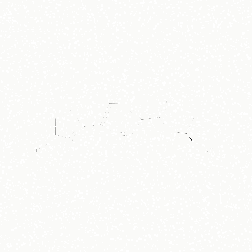 CCOC(=O)[C@H](C)OC(=O)c1ccc(C2=NC(C(C)C)CO2)cc1